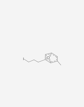 Cc1cc2cc(CCCI)c1o2